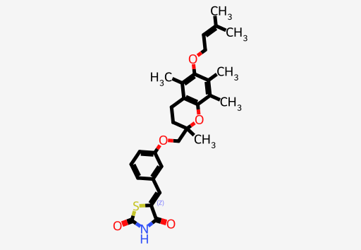 CC(C)=CCOc1c(C)c(C)c2c(c1C)CCC(C)(COc1cccc(/C=C3\SC(=O)NC3=O)c1)O2